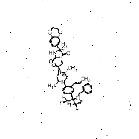 CC=Cc1cc(C(OCc2ccccc2)(C(F)(F)F)C(F)(F)F)ccc1N1C[C@@H](C)N(C(=O)CN2C(=O)N[C@@](C)(c3ccc4c(c3)OCCO4)C2=O)CC1C